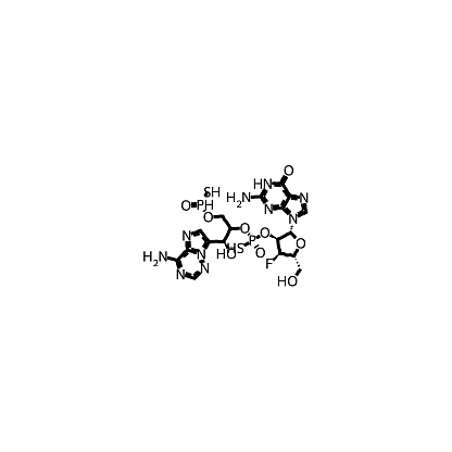 Nc1nc2c(ncn2[C@@H]2O[C@H](CO)[C@@H](F)[C@H]2OP(=O)(S)OC(CO[PH](=O)S)[C@@H](O)c2cnc3c(N)ncnn23)c(=O)[nH]1